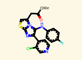 COC(=O)Cc1csc2nc(-c3ccncc3Cl)c(Nc3ccc(F)cc3)n12